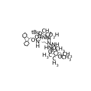 Cc1c(C)c(S(=O)(=O)NC(=N)NCCC[C@H](NC(=O)OCC2c3ccccc3-c3ccccc32)C(=O)N[C@H](C(=O)O)[C@@H](C)OC(C)(C)C)c(C)c2c1OC(C)(C)C2